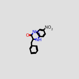 NC(=O)C(Cc1ccccc1)Nc1ccc([N+](=O)[O-])cc1